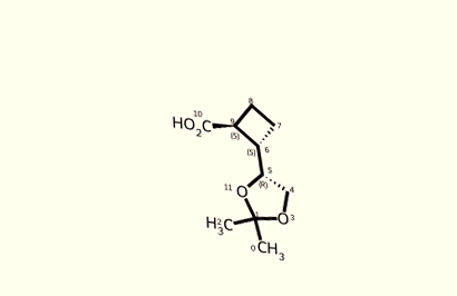 CC1(C)OC[C@@H]([C@H]2CC[C@@H]2C(=O)O)O1